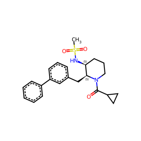 CS(=O)(=O)N[C@H]1CCCN(C(=O)C2CC2)[C@H]1Cc1cccc(-c2ccccc2)c1